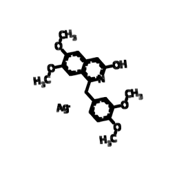 COc1ccc(Cc2nc(O)cc3cc(OC)c(OC)cc23)cc1OC.[Ag]